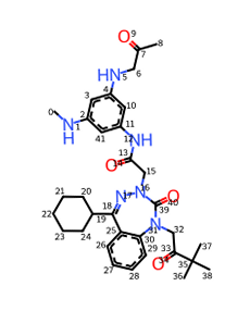 CNc1cc(NCC(C)=O)cc(NC(=O)CN2N=C(C3CCCCC3)c3ccccc3N(CC(=O)C(C)(C)C)C2=O)c1